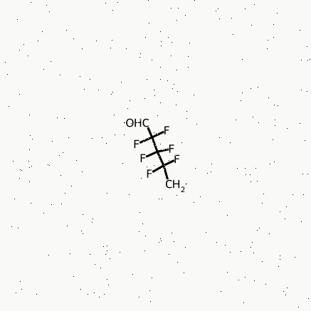 [CH2]C(F)(F)C(F)(F)C(F)(F)[C]=O